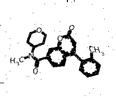 Cc1ccccc1-c1cc(=O)oc2cc(C(=O)N(C)C3CCOCC3)ccc12